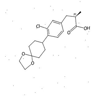 C[C@H](Cc1ccc(C2CCC3(CC2)OCCO3)c(Cl)c1)C(=O)O